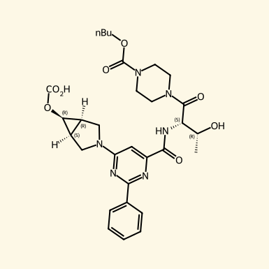 CCCCOC(=O)N1CCN(C(=O)[C@@H](NC(=O)c2cc(N3C[C@@H]4[C@H](C3)[C@@H]4OC(=O)O)nc(-c3ccccc3)n2)[C@@H](C)O)CC1